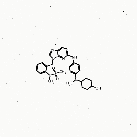 CN(c1ccc(Nc2ncc3ccn(Cc4ccccc4N(C)S(C)(=O)=O)c3n2)cc1)C1CCC(O)CC1